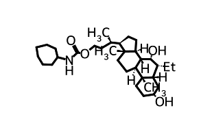 CC[C@H]1[C@@H](O)[C@@H]2[C@H](CC[C@]3(C)[C@@H]([C@H](C)CCOC(=O)NC4CCCCCC4)CC[C@@H]23)[C@@]2(C)CC[C@@H](O)C[C@@H]12